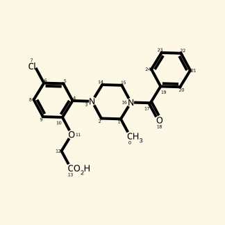 CC1CN(c2cc(Cl)ccc2OCC(=O)O)CCN1C(=O)c1ccccc1